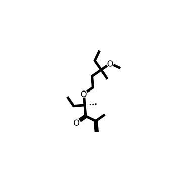 C=C(C)C(=O)[C@@](C)(CC)OCCC(C)(CC)OC